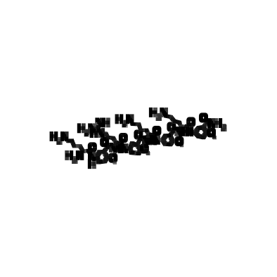 COc1ccc(NC(=O)[C@H](CCCCN)NC(=O)c2cc(NC(=O)[C@H](CCCCN)NC(=O)c3cc(NC(=O)[C@H](CCCNC(=N)N)NC(=O)c4cc(NC(=O)[C@@H](N)CCCCN)ccc4OC)ccc3OC)ccc2OC)cc1C(N)=O